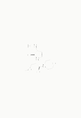 CO[C@H](C)[C@@H](C(=O)N1CCOCC1)N1CC[C@H](N)C1=O